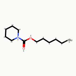 CC(C)(C)CCCCCOC(=O)N1CCCCC1